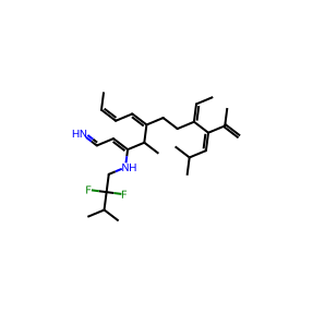 C=C(C)C(=C/C(C)C)/C(=C\C)CC/C(=C/C=C\C)C(C)/C(=C/C=N)NCC(F)(F)C(C)C